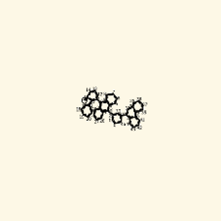 c1cc(-c2c3ccccc3c(-c3cccc4oc5ccccc5c34)c3ccccc23)cc(-c2cc3ccccc3c3ccccc23)c1